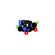 COCCNc1cc(CNC(=O)N2CCC3(CC2)CC(=O)c2cc(F)ccc2N3C)ccc1F